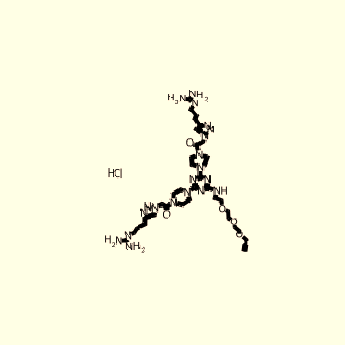 C#CCOCCOCCOCCNc1nc(N2CCN(C(=O)Cn3cc(CCCN=C(N)N)nn3)CC2)nc(N2CCN(C(=O)Cn3cc(CCCN=C(N)N)nn3)CC2)n1.Cl